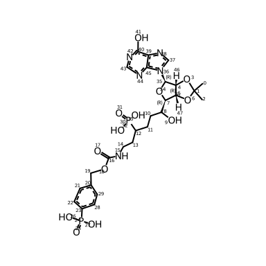 CC1(C)O[C@@H]2[C@H](O1)[C@@H](C(O)CCC(CCNC(=O)OCc1ccc(P(=O)(O)O)cc1)P(=O)(O)O)O[C@H]2n1cnc2c(O)ncnc21